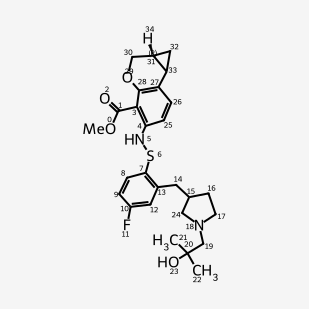 COC(=O)c1c(NSc2ccc(F)cc2CC2CCN(CC(C)(C)O)C2)ccc2c1OC[C@@H]1CC21